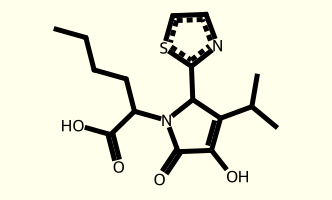 CCCCC(C(=O)O)N1C(=O)C(O)=C(C(C)C)C1c1nccs1